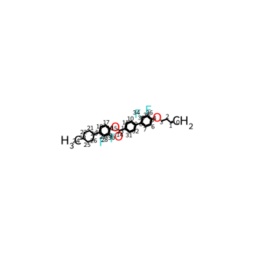 C=CCCOc1ccc(-c2ccc(C(=O)Oc3ccc(C4CCC(C)CC4)c(F)c3F)cc2)c(F)c1F